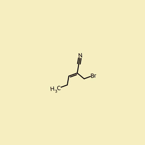 CC/C=C(/C#N)CBr